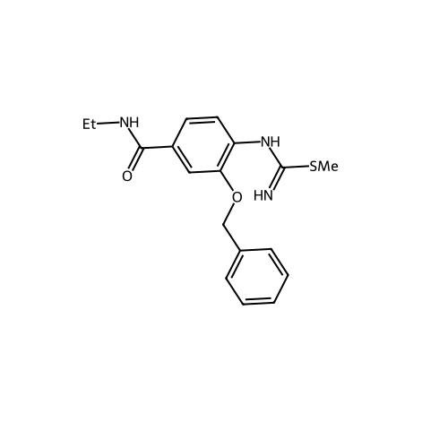 CCNC(=O)c1ccc(NC(=N)SC)c(OCc2ccccc2)c1